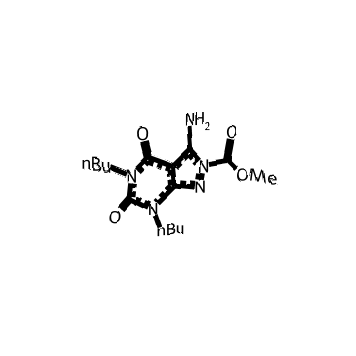 CCCCn1c(=O)c2c(N)n(C(=O)OC)nc2n(CCCC)c1=O